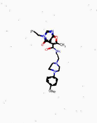 COc1ccc(N2CCN(CCNC(=O)c3c(C)oc4ncn(CC(C)C)c(=O)c34)CC2)cc1